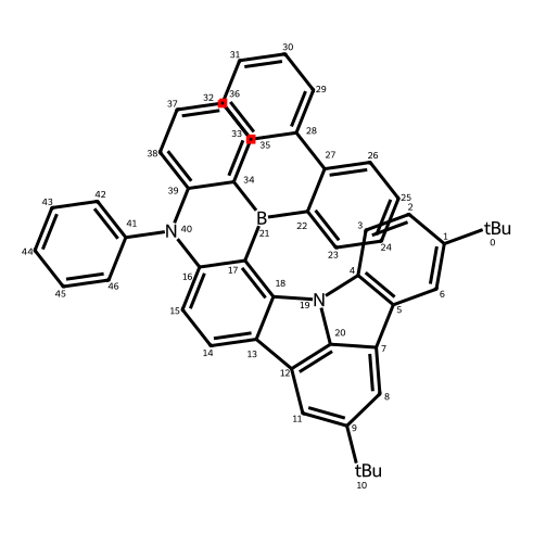 CC(C)(C)c1ccc2c(c1)c1cc(C(C)(C)C)cc3c4ccc5c(c4n2c13)B(c1ccccc1-c1ccccc1)c1ccccc1N5c1ccccc1